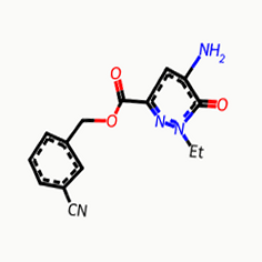 CCn1nc(C(=O)OCc2cccc(C#N)c2)cc(N)c1=O